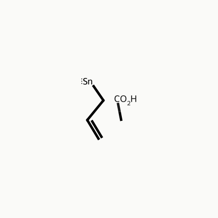 C=C[CH2][Sn].CC(=O)O